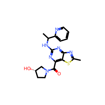 Cc1nc2nc(NC(C)c3ccccn3)nc(C(=O)N3CC[C@H](O)C3)c2s1